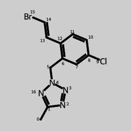 Cc1nnn(Cc2cc(Cl)ccc2C=CBr)n1